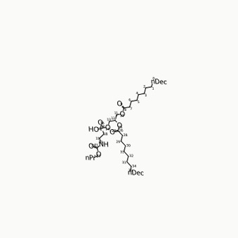 CCCCCCCCCCCCCCCCCC(=O)OC[C@H](COP(=O)(O)CCNC(=O)OCCC)OC(=O)CCCCCCCCCCCCCCCCC